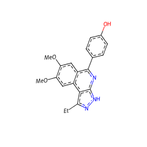 CCc1n[nH]c2nc(-c3ccc(O)cc3)c3cc(OC)c(OC)cc3c12